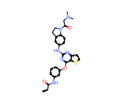 C=CC(=O)Nc1cccc(Oc2nc(Nc3ccc4c(c3)CCN4C(=O)CN(C)C)nc3ccsc23)c1